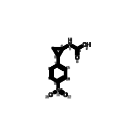 O=C(O)NC1CC1c1ccc([N+](=O)[O-])cc1